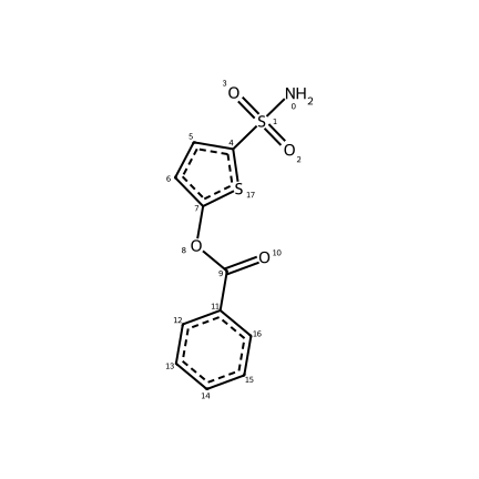 NS(=O)(=O)c1ccc(OC(=O)c2ccccc2)s1